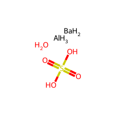 O.O=S(=O)(O)O.[AlH3].[BaH2]